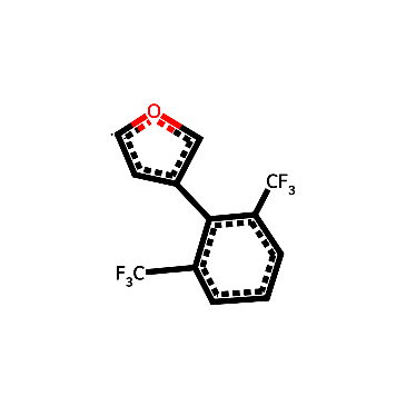 FC(F)(F)c1cccc(C(F)(F)F)c1-c1c[c]oc1